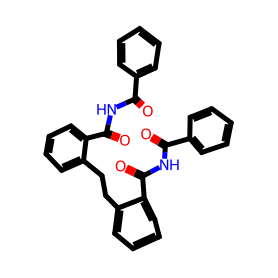 O=C(NC(=O)c1ccccc1CCc1ccccc1C(=O)NC(=O)c1ccccc1)c1ccccc1